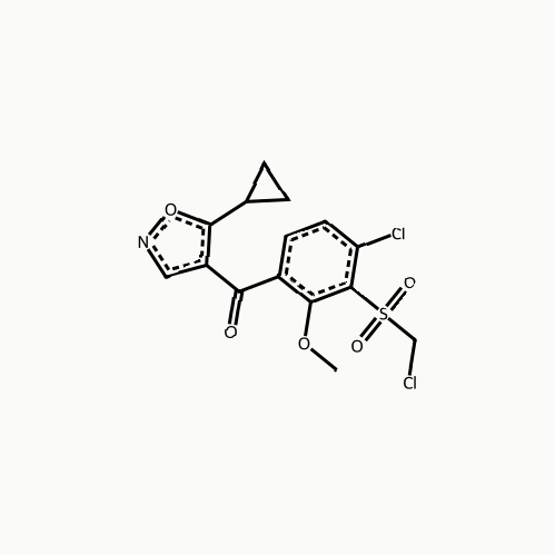 COc1c(C(=O)c2cnoc2C2CC2)ccc(Cl)c1S(=O)(=O)CCl